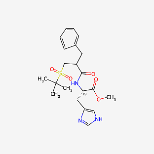 COC(=O)[C@H](Cc1c[nH]cn1)NC(=O)C(Cc1ccccc1)CS(=O)(=O)C(C)(C)C